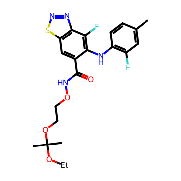 CCOC(C)(C)OCCONC(=O)c1cc2snnc2c(F)c1Nc1ccc(C)cc1F